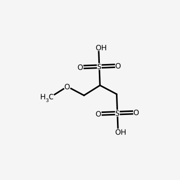 COCC(CS(=O)(=O)O)S(=O)(=O)O